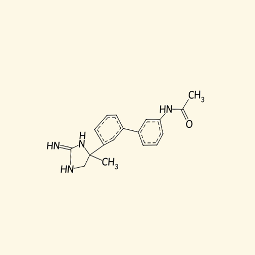 CC(=O)Nc1cccc(-c2cccc(C3(C)CNC(=N)N3)c2)c1